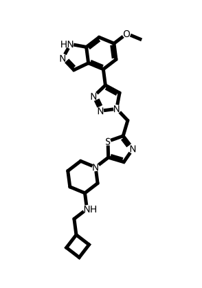 COc1cc(-c2cn(Cc3ncc(N4CCCC(NCC5CCC5)C4)s3)nn2)c2cn[nH]c2c1